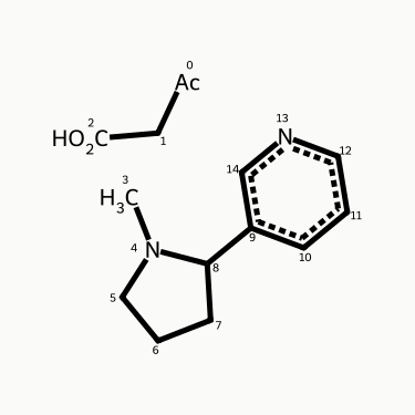 CC(=O)CC(=O)O.CN1CCCC1c1cccnc1